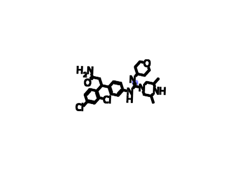 CC1CN(/C(=N\C2CCOCC2)Nc2ccc(C(CC(N)=O)c3ccc(Cl)cc3Cl)cc2)CC(C)N1